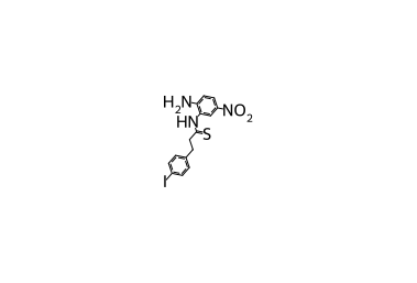 Nc1ccc([N+](=O)[O-])cc1NC(=S)CCc1ccc(I)cc1